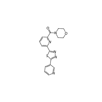 O=C(c1cccc(-c2nnc(-c3cccnc3)s2)n1)N1CCOCC1